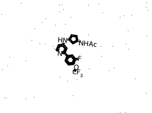 CC(=O)N[C@H]1CC[C@@H](Nc2ccnc(-c3ccc(OC(F)(F)F)c(F)c3)c2)C1